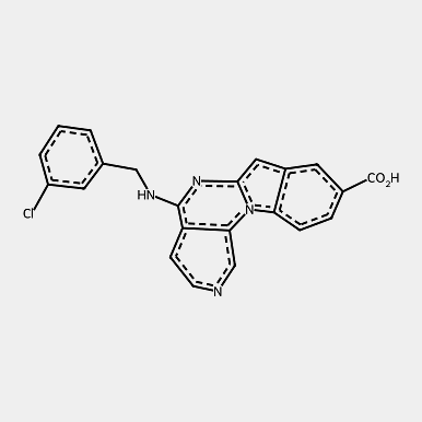 O=C(O)c1ccc2c(c1)cc1nc(NCc3cccc(Cl)c3)c3ccncc3n12